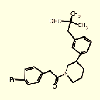 CC(C)c1ccc(CC(=O)N2CCCC(c3cccc(CC(C)(C)C=O)c3)C2)cc1